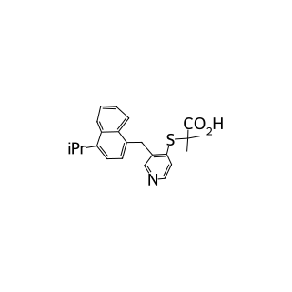 CC(C)c1ccc(Cc2cnccc2SC(C)(C)C(=O)O)c2ccccc12